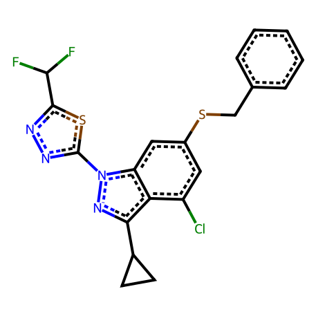 FC(F)c1nnc(-n2nc(C3CC3)c3c(Cl)cc(SCc4ccccc4)cc32)s1